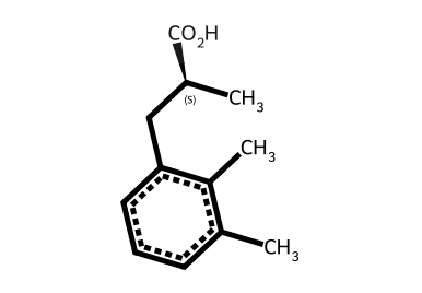 Cc1cccc(C[C@H](C)C(=O)O)c1C